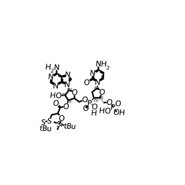 CC(C)(C)SSCC(O[Si](C)(C)C(C)(C)C)C(=O)O[C@@H]1C(COP(=O)(O)[C@H]2C[C@H](n3ccc(N)nc3=O)O[C@@H]2COP(=O)(O)O)O[C@@H](n2cnc3c(N)ncnc32)[C@@H]1O